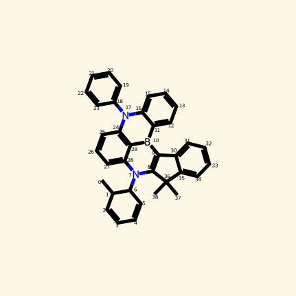 CC1C=CC=CC1N1C2=C(B3c4ccccc4N(c4ccccc4)c4cccc1c43)c1ccccc1C2(C)C